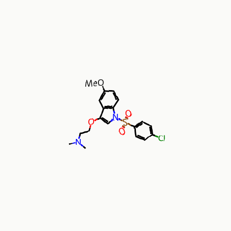 COc1ccc2c(c1)c(OCCN(C)C)cn2S(=O)(=O)c1ccc(Cl)cc1